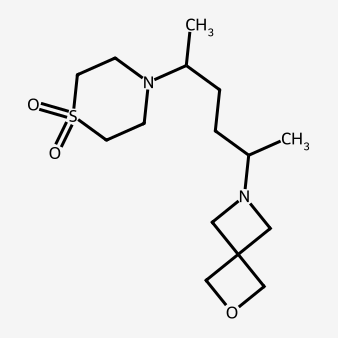 CC(CCC(C)N1CC2(COC2)C1)N1CCS(=O)(=O)CC1